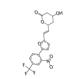 O=C1CC(O)CC(C=Cc2ccc(-c3ccc(C(F)(F)F)cc3[N+](=O)[O-])o2)O1